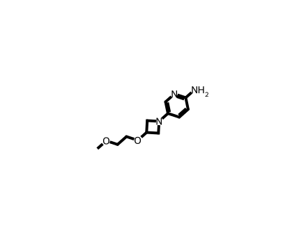 COCCOC1CN(c2ccc(N)nc2)C1